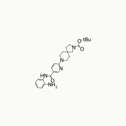 CC(C)(C)OC(=O)N1CCC2(CCN(c3ccc(C(=O)Nc4ccccc4N)cn3)CC2)C1